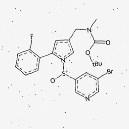 CN(Cc1cc(-c2ccccc2F)n([S+]([O-])c2cncc(Br)c2)c1)C(=O)OC(C)(C)C